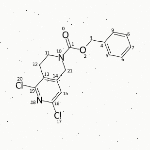 O=C(OCc1ccccc1)N1CCc2c(cc(Cl)nc2Cl)C1